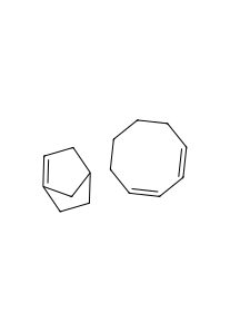 C1=C2CCC(C1)C2.C1=C\CCCC\C=C/1